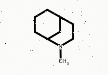 CN1CCC2CCCC1C2